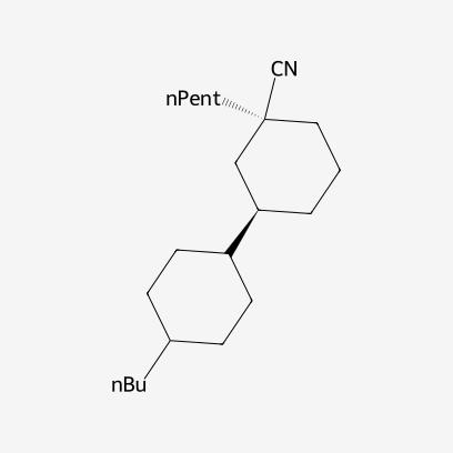 CCCCC[C@]1(C#N)CCC[C@@H](C2CCC(CCCC)CC2)C1